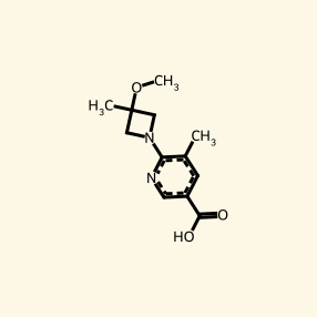 COC1(C)CN(c2ncc(C(=O)O)cc2C)C1